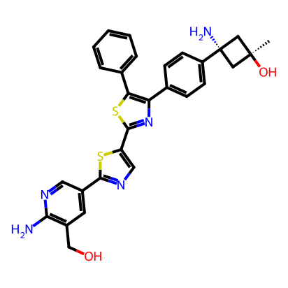 C[C@]1(O)C[C@@](N)(c2ccc(-c3nc(-c4cnc(-c5cnc(N)c(CO)c5)s4)sc3-c3ccccc3)cc2)C1